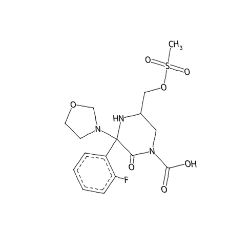 CS(=O)(=O)OCC1CN(C(=O)O)C(=O)C(c2ccccc2F)(N2CCOC2)N1